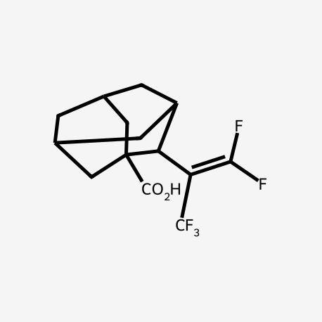 O=C(O)C12CC3CC(CC(C3)C1C(=C(F)F)C(F)(F)F)C2